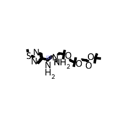 CSc1ncc(/C(N)=C/N(N)CC(C)(C)OCC(C)(C)OCC(=O)OC(C)(C)C)cn1